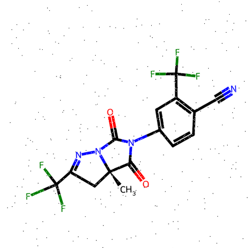 C[C@@]12CC(C(F)(F)F)=NN1C(=O)N(c1ccc(C#N)c(C(F)(F)F)c1)C2=O